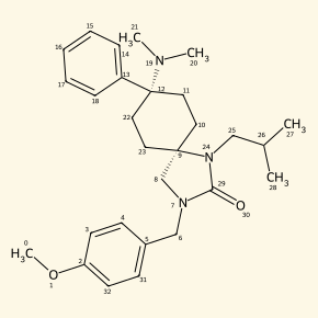 COc1ccc(CN2C[C@]3(CC[C@@](c4ccccc4)(N(C)C)CC3)N(CC(C)C)C2=O)cc1